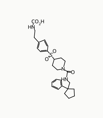 O=C(O)NCCc1ccc(S(=O)(=O)C2CCN(C(=O)NCC3(c4ccccc4)CCCC3)CC2)cc1